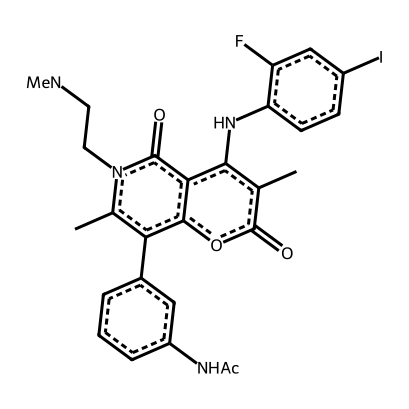 CNCCn1c(C)c(-c2cccc(NC(C)=O)c2)c2oc(=O)c(C)c(Nc3ccc(I)cc3F)c2c1=O